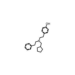 Oc1ccc(CCN(CCc2ccccc2)CC2CCCC2)cc1